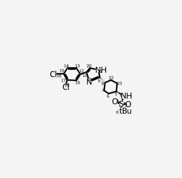 CC(C)(C)S(=O)(=O)N[C@H]1CC[C@H](c2nc(-c3ccc(Cl)c(Cl)c3)c[nH]2)CC1